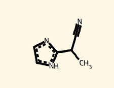 C[C](C#N)c1ncc[nH]1